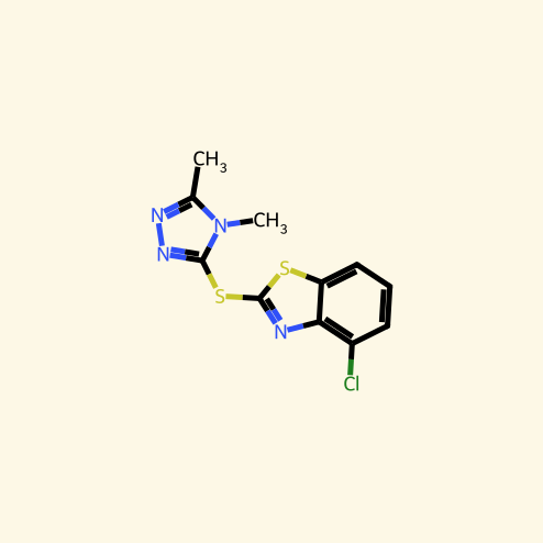 Cc1nnc(Sc2nc3c(Cl)cccc3s2)n1C